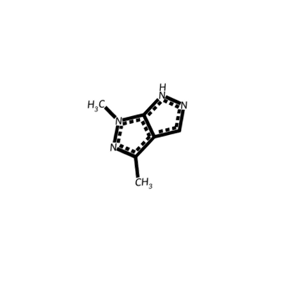 Cc1nn(C)c2[nH]ncc12